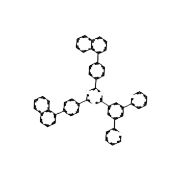 c1ccc(-c2cc(-c3ccccn3)cc(-c3nc(-c4ccc(-c5cccc6ccccc56)cc4)nc(-c4ccc(-c5cccc6ccccc56)cc4)n3)c2)nc1